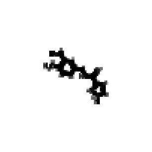 COc1cc(CNC(=O)c2nc[nH]n2)ccc1C